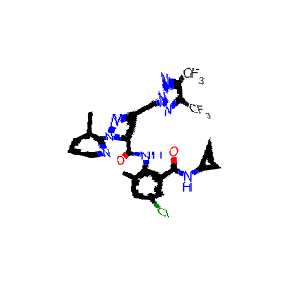 Cc1cccnc1-n1nc(Cn2nc(C(F)(F)F)c(C(F)(F)F)n2)cc1C(=O)Nc1c(C)cc(Cl)cc1C(=O)NC1CC1